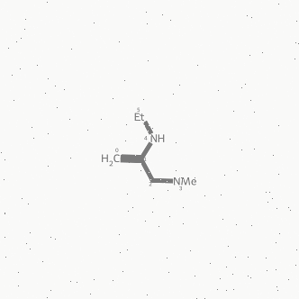 C=C(CNC)NCC